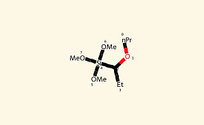 CCCOC(CC)[Si](OC)(OC)OC